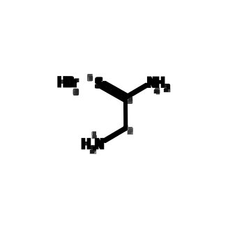 Br.NCC(N)=S